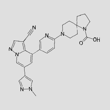 Cn1cc(-c2cc(-c3ccc(N4CCC5(CCCN5C(=O)O)CC4)nc3)c3c(C#N)cnn3c2)cn1